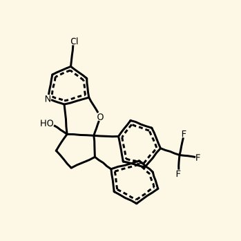 OC12CCC(c3ccccc3)C1(c1ccc(C(F)(F)F)cc1)Oc1cc(Cl)cnc12